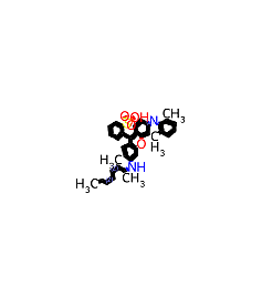 CC/C=C\C=C(\C)C(C)Nc1ccc2c(-c3ccccc3S(=O)(=O)O)c3cc/c(=N/c4c(C)cccc4C)cc-3oc2c1